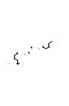 CC(CC(=O)OOOC(=O)OC(=O)OOOC(=O)CC(C)CC(C)(C)C)CC(C)(C)C